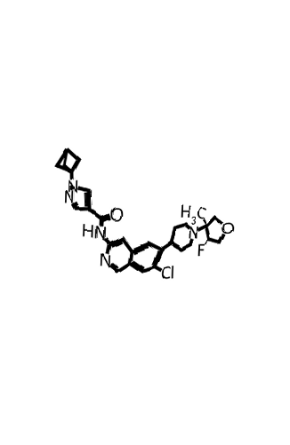 C[C@@]1(N2CCC(c3cc4cc(NC(=O)c5cnn(C67CC(C6)C7)c5)ncc4cc3Cl)CC2)COC[C@@H]1F